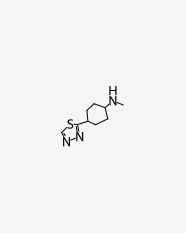 CNC1CCC(c2nncs2)CC1